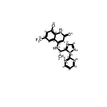 C[C@H](Nc1cc(=O)[nH]c2c(Cl)cc(C(F)(F)F)cc12)c1ncnn1-c1ncccn1